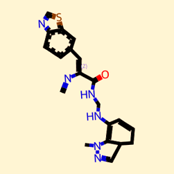 C=N/C(=C\c1ccc2ncsc2c1)C(=O)NCNC1=C2C(C=NN2C)CC=C1